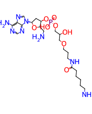 NCCCCCC(=O)NCCCOCC(O)COP(=O)(O)O[C@@H]1C[C@H](n2cnc3c(N)ncnc32)OC1CN